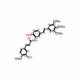 COc1ccc(/C=C/C(=O)Nc2cc(/C=C/c3cc(OC)c(OC)c(OC)c3)ccc2O)cc1O